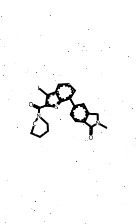 CN1Cc2cc(-c3cccc4c(I)c(C(=O)N5CCCCC5)sc34)ccc2C1=O